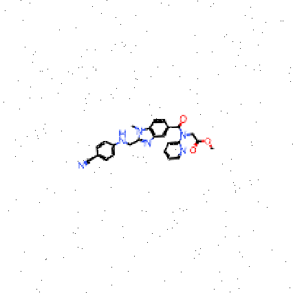 COC(=O)CN(C(=O)c1ccc2c(c1)nc(CNc1ccc(C#N)cc1)n2C)c1ccccn1